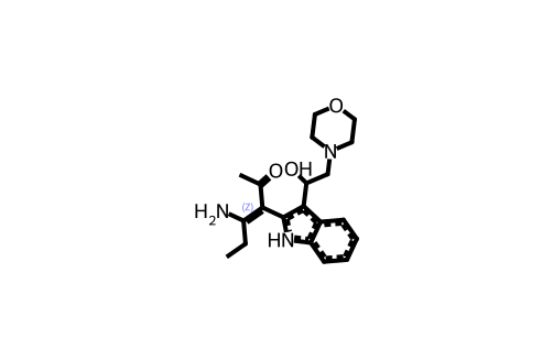 CC/C(N)=C(/C(C)=O)c1[nH]c2ccccc2c1C(O)CN1CCOCC1